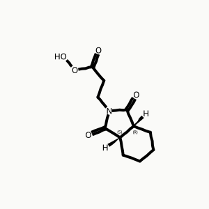 O=C(CCN1C(=O)[C@H]2CCCC[C@H]2C1=O)OO